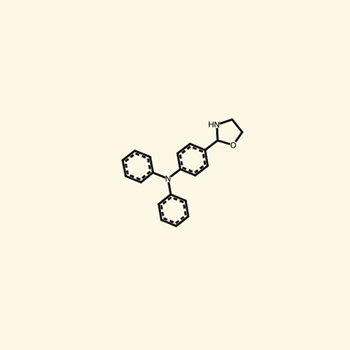 c1ccc(N(c2ccccc2)c2ccc(C3NCCO3)cc2)cc1